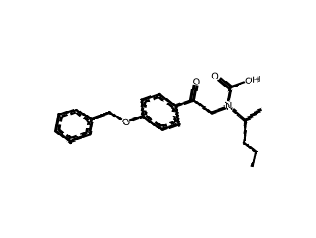 CCCC(C)N(CC(=O)c1ccc(OCc2ccccc2)cc1)C(=O)O